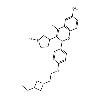 CC(=O)Oc1ccc2c(c1)C(C)=C(C1CCN(C(C)=O)C1)C(c1ccc(OCCN3CC(CF)C3)cc1)O2